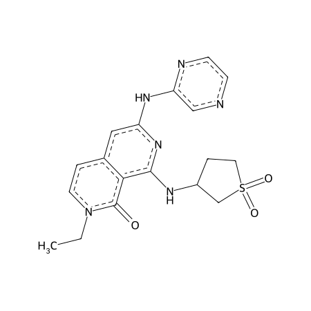 CCn1ccc2cc(Nc3cnccn3)nc(NC3CCS(=O)(=O)C3)c2c1=O